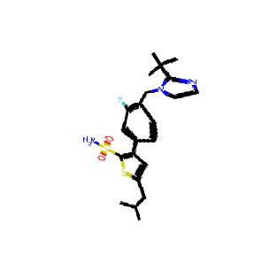 CC(C)Cc1cc(-c2ccc(Cn3ccnc3C(C)(C)C)c(F)c2)c(S(N)(=O)=O)s1